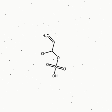 C=CC(Cl)OS(=O)(=O)O